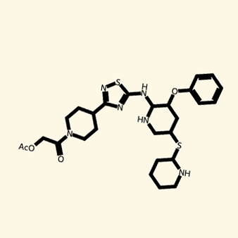 CC(=O)OCC(=O)N1CCC(c2nsc(NC3NCC(SC4CCCCN4)CC3Oc3ccccc3)n2)CC1